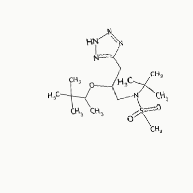 CC(OC(Cc1nn[nH]n1)CN(C(C)(C)C)S(C)(=O)=O)C(C)(C)C